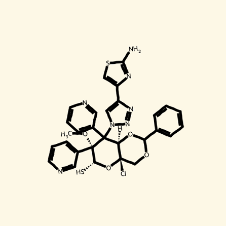 CO[C@@]1(c2cccnc2)[C@@H](S)O[C@@]2(Cl)COC(c3ccccc3)O[C@@H]2C1(c1cccnc1)n1cc(-c2csc(N)n2)nn1